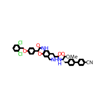 COC(=O)[C@H](Cc1ccc(-c2ccc(C#N)cc2)cc1)NC(=O)C1Cc2cc3c(cc2CN1)OC(c1ccc(OCc2c(Cl)cccc2Cl)cc1)C(=O)N3